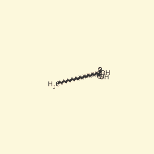 CCCCCCCCCC=CC=CC=CC=CC=CC=C(OO)C(=O)O